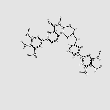 COc1cc(-c2cccc(C(=O)N(C)C3CCN(Cc4ccnc(-c5cc(OC)c(OC)c(OC)c5)c4)CC3)c2)cc(OC)c1OC